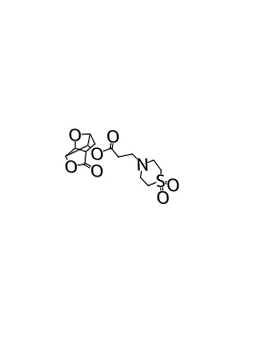 O=C(CCN1CCS(=O)(=O)CC1)OC1C2CC3C(=O)OC1C3O2